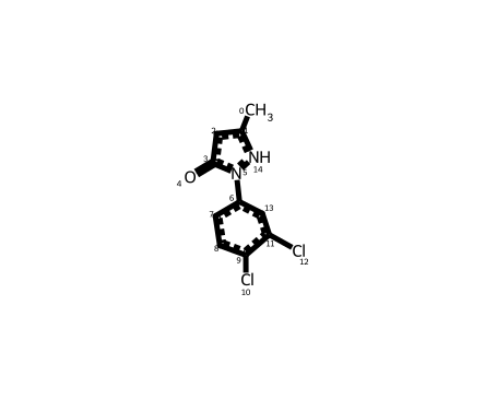 Cc1cc(=O)n(-c2ccc(Cl)c(Cl)c2)[nH]1